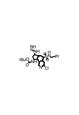 CC(C)CNS(=O)(=O)c1cc2c(c3cnc(Cl)cc13)C(NC(=O)OC(C)(C)C)CC2NN=N